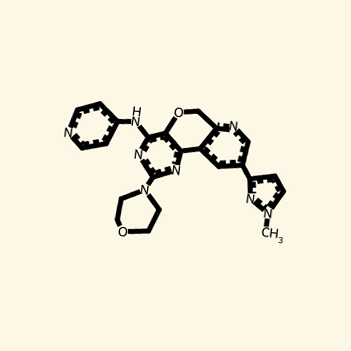 Cn1ccc(-c2cnc3c(c2)-c2nc(N4CCOCC4)nc(Nc4ccncc4)c2OC3)n1